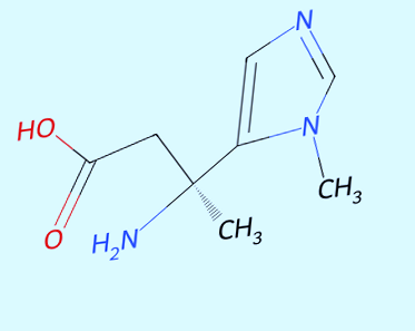 Cn1cncc1[C@@](C)(N)CC(=O)O